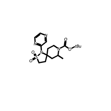 CC1CC2(CCN1C(=O)OC(C)(C)C)CCS(=O)(=O)N2c1cnccn1